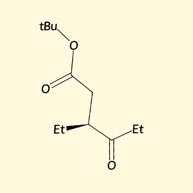 CCC(=O)[C@@H](CC)CC(=O)OC(C)(C)C